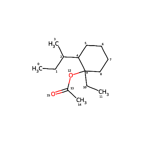 CCC(C)C1CCCCC1(CC)OC(C)=O